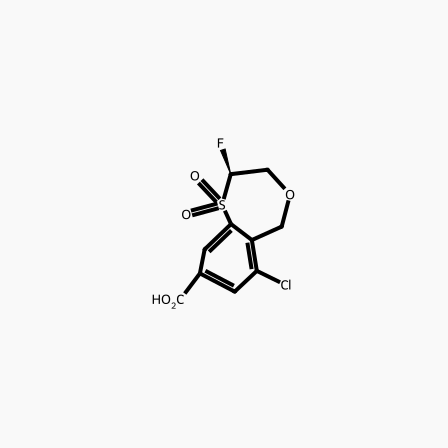 O=C(O)c1cc(Cl)c2c(c1)S(=O)(=O)[C@@H](F)COC2